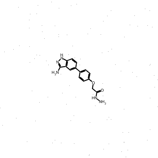 NNC(=O)COc1ccc(-c2ccc3[nH]nc(N)c3c2)cc1